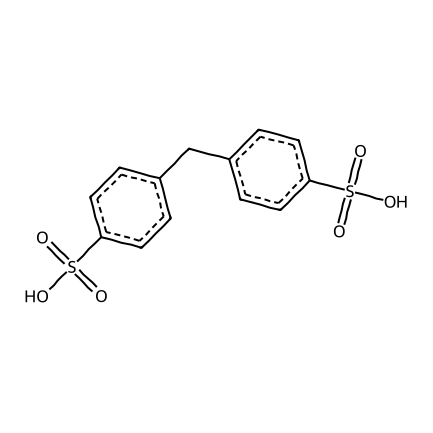 O=S(=O)(O)c1ccc(Cc2ccc(S(=O)(=O)O)cc2)cc1